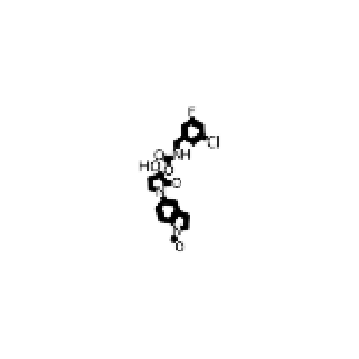 O=CN1CCc2cc(N3CC[C@@](O)(OC(=O)NCc4cc(F)cc(Cl)c4)C3=O)ccc21